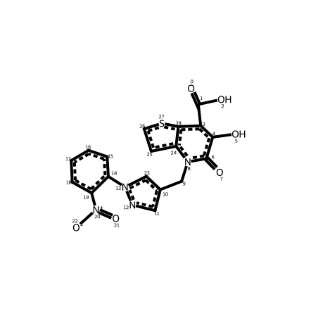 O=C(O)c1c(O)c(=O)n(Cc2cnn(-c3ccccc3[N+](=O)[O-])c2)c2ccsc12